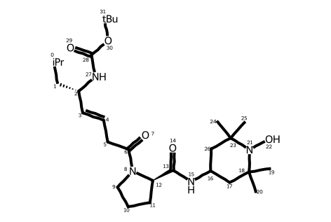 CC(C)C[C@@H](/C=C/CC(=O)N1CCC[C@@H]1C(=O)NC1CC(C)(C)N(O)C(C)(C)C1)NC(=O)OC(C)(C)C